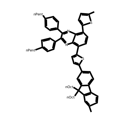 CCCCCCCCC1(CCCCCCCC)c2cc(C)ccc2-c2ccc(-c3ccc(-c4ccc(-c5ccc(C)s5)c5nc(-c6ccc(CCCCC)cc6)c(-c6ccc(CCCCC)cc6)nc45)s3)cc21